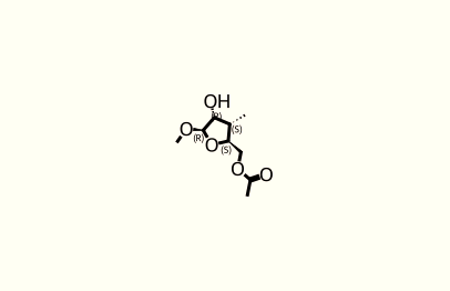 CO[C@@H]1O[C@H](COC(C)=O)[C@@H](C)[C@H]1O